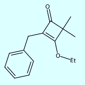 CCOC1=C(Cc2ccccc2)C(=O)C1(C)C